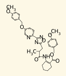 COc1ccc(COC(=O)C2=C(NC(=O)C(C)Cc3nc(-c4ccc(OCc5ccc(OC)cc5)cn4)no3)CCCC2)cc1